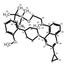 COc1ccccc1C1CCN(c2nc(C3CC3)nc3cccc(N(C)CCO[Si](C)(C)C(C)(C)C)c23)CC1